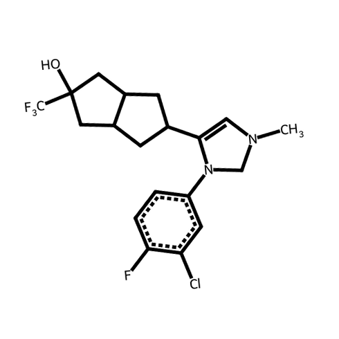 CN1C=C(C2CC3CC(O)(C(F)(F)F)CC3C2)N(c2ccc(F)c(Cl)c2)C1